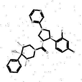 C[C@@H]1CN(C(=O)[C@@H]2CN(c3cnccn3)C[C@H]2c2ccc(F)cc2F)C[C@H](C)[C@@]1(O)c1ccccc1